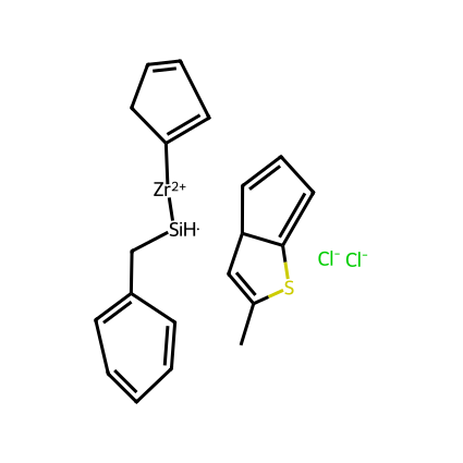 C1=CC[C]([Zr+2][SiH]Cc2ccccc2)=C1.CC1=CC2C=CC=C2S1.[Cl-].[Cl-]